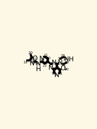 COc1cncc2nc(-c3ccnc(Nc4nc(C)c(C)o4)c3)nc(N3CCNCC3)c12